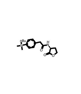 CCCC[Si](C)(C)c1ccc(CC(=O)N[C@H]2CCOC2=O)cc1